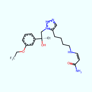 CC[C@@](O)(Cn1nncc1CCCCN/C=C\C(N)=O)c1cccc(OCC(F)(F)F)c1